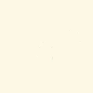 CCCCCC(=O)C(Cl)SCc1ccccc1